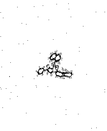 O=C1C(c2ccccc2)=CC=CC1P(Oc1cccc2ccccc12)Oc1cccc2ccccc12